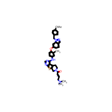 COc1ccc(Cn2ncc3ccc(Oc4ccc(Nc5ncnc6sc7c(c56)CCN(C(=O)/C=C/CN(C)C)C7)cc4C)cc32)cc1